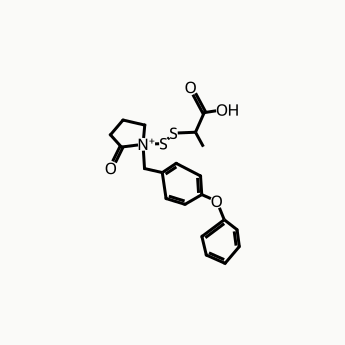 CC(SS[N+]1(Cc2ccc(Oc3ccccc3)cc2)CCCC1=O)C(=O)O